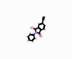 C#Cc1ccc2c(c1)C(=O)N(c1cc[c]cc1)C2=O